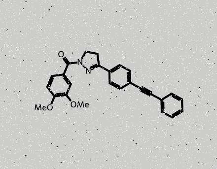 COc1ccc(C(=O)N2CCC(c3ccc(C#Cc4ccccc4)cc3)=N2)cc1OC